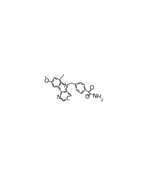 COc1cc(C)c2c(c1)c1ncccc1n2Cc1ccc(S(N)(=O)=O)cc1